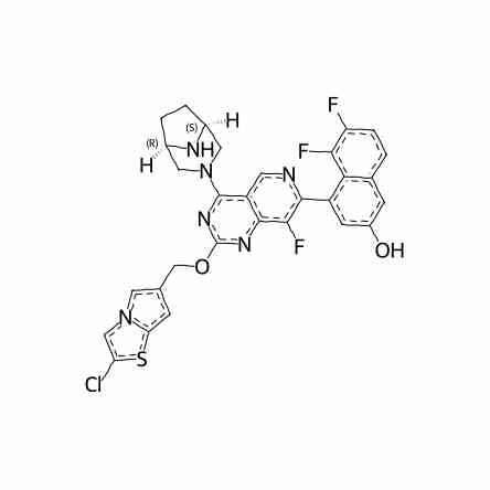 Oc1cc(-c2ncc3c(N4C[C@H]5CC[C@@H](C4)N5)nc(OCc4cc5sc(Cl)cn5c4)nc3c2F)c2c(F)c(F)ccc2c1